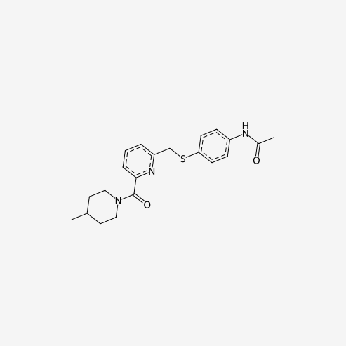 CC(=O)Nc1ccc(SCc2cccc(C(=O)N3CCC(C)CC3)n2)cc1